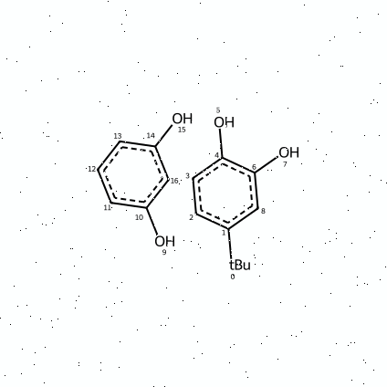 CC(C)(C)c1ccc(O)c(O)c1.Oc1cccc(O)c1